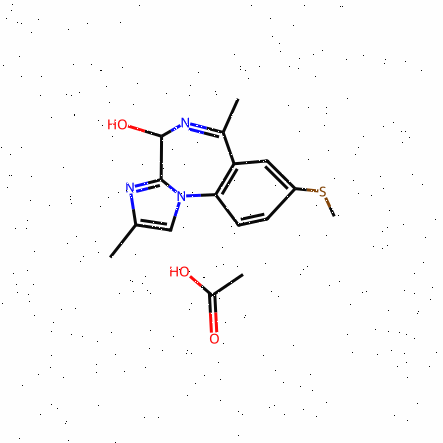 CC(=O)O.CSc1ccc2c(c1)C(C)=NC(O)c1nc(C)cn1-2